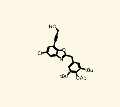 CC(=O)Oc1c(C(C)(C)C)cc(Cc2nc3cc(Cl)cc(C#CCO)c3o2)cc1C(C)(C)C